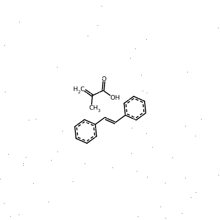 C(=Cc1ccccc1)c1ccccc1.C=C(C)C(=O)O